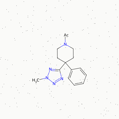 CC(=O)N1CCC(c2ccccc2)(c2nnn(C)n2)CC1